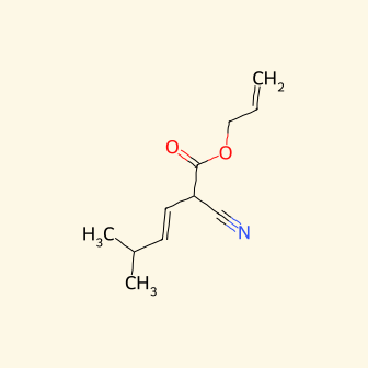 C=CCOC(=O)C(C#N)C=CC(C)C